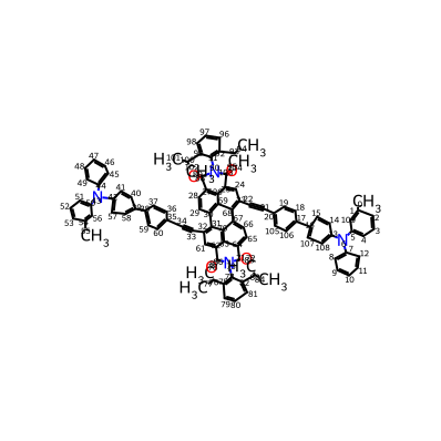 Cc1cccc(N(c2ccccc2)c2ccc(-c3ccc(C#Cc4cc5c6c(ccc7c8c(C#Cc9ccc(-c%10ccc(N(c%11ccccc%11)c%11cccc(C)c%11)cc%10)cc9)cc9c%10c(ccc(c4c67)c%108)C(=O)N(c4c(C(C)C)cccc4C(C)C)C9=O)C(=O)N(c4c(C(C)C)cccc4C(C)C)C5=O)cc3)cc2)c1